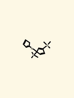 C[Si](C)(C)C1=C[C]([Ni][C]2=CC=CC2)([Si](C)(C)C)C=C1